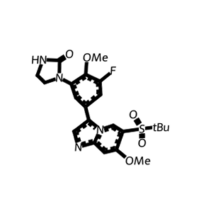 COc1cc2ncc(-c3cc(F)c(OC)c(N4CCNC4=O)c3)n2cc1S(=O)(=O)C(C)(C)C